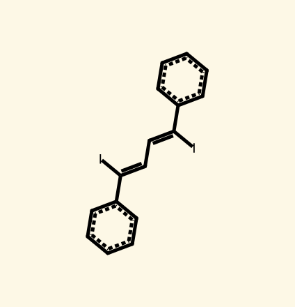 IC(=CC=C(I)c1ccccc1)c1ccccc1